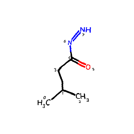 CC(C)CC(=O)N=N